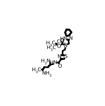 C/C(N)=C/C=C(\N)CNC(=O)c1csc(CCN(Cc2nc3ccccc3[nH]2)C(=O)OC(C)(C)C)n1